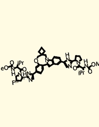 COC(=O)NC(C(=O)N1CCCC1c1ncc(-c2ccc3c(c2)cc2n3CC3(CCC3)COc3cc(-c4cnc([C@H]5C[C@H](F)CN5C(=O)C(NC(=O)OC)C(C)C)[nH]4)ccc3-2)[nH]1)C(C)C